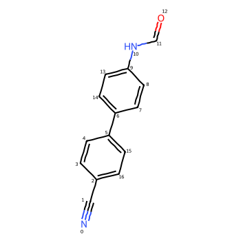 N#Cc1ccc(-c2ccc(NC=O)cc2)cc1